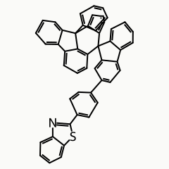 c1ccc(C23c4ccccc4-c4cccc(c42)C2(c4ccccc4-c4ccc(-c5ccc(-c6nc7ccccc7s6)cc5)cc42)c2ccccc23)cc1